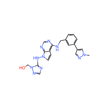 Cn1cc(-c2cccc(CNc3ncnc4c3ccn4Nc3ncnn3CO)c2)cn1